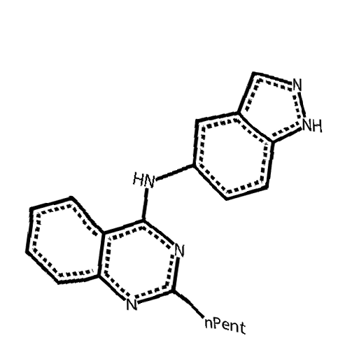 CCCCCc1nc(Nc2ccc3[nH]ncc3c2)c2ccccc2n1